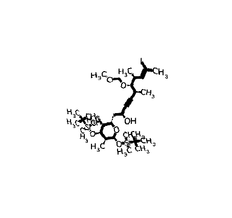 COCO[C@@H]([C@@H](C)C#C[C@@H](O)C[C@@H]1O[C@@H](O[Si](C)(C)C(C)(C)C)[C@H](C)[C@@H](O[Si](C)(C)C(C)(C)C)[C@H]1C)[C@@H](C)/C=C(/C)I